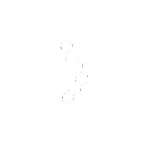 O=C(COc1ccc(Cl)cc1Br)N1CCN(Cc2ccc(Cl)cc2)CC1